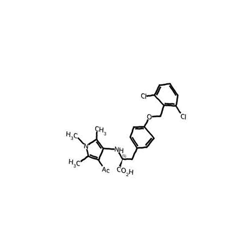 CC(=O)c1c(N[C@@H](Cc2ccc(OCc3c(Cl)cccc3Cl)cc2)C(=O)O)c(C)n(C)c1C